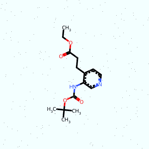 CCOC(=O)CCc1ccncc1NC(=O)OC(C)(C)C